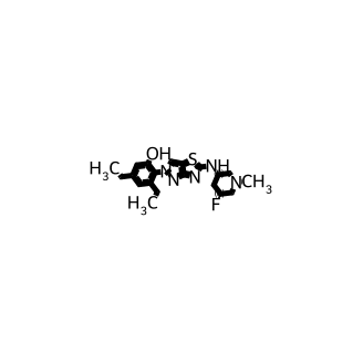 CCc1cc(O)c(-n2cc3sc(N[C@@H]4C[C@@H](F)CN(C)C4)nc3n2)c(CC)c1